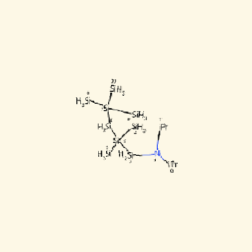 CC(C)N([SiH2][Si]([SiH3])([SiH3])[SiH2][Si]([SiH3])([SiH3])[SiH3])C(C)C